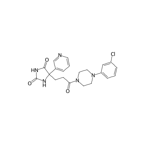 O=C1NC(=O)C(CCC(=O)N2CCN(c3cccc(Cl)c3)CC2)(c2cccnc2)N1